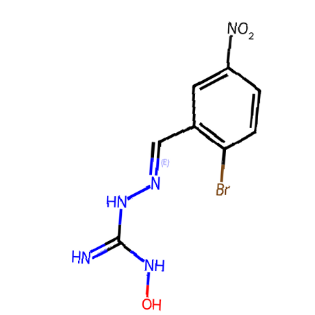 N=C(NO)N/N=C/c1cc([N+](=O)[O-])ccc1Br